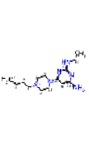 CCCCN1CCN(c2cc(N)nc(NCC)n2)CC1